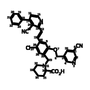 N#Cc1cncc(COc2cc(C=Cc3nccc(-c4ccccc4)c3C#N)c(Cl)cc2CN2CCCCC2C(=O)O)c1